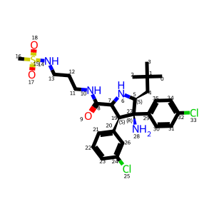 CC(C)(C)C[C@@H]1NC(C(=O)NCCCNS(C)(=O)=O)[C@H](c2cccc(Cl)c2)[C@@]1(N)c1ccc(Cl)cc1